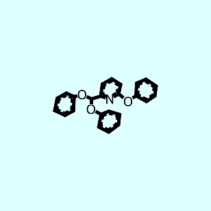 c1ccc(Oc2cccc(C(Oc3ccccc3)Oc3ccccc3)n2)cc1